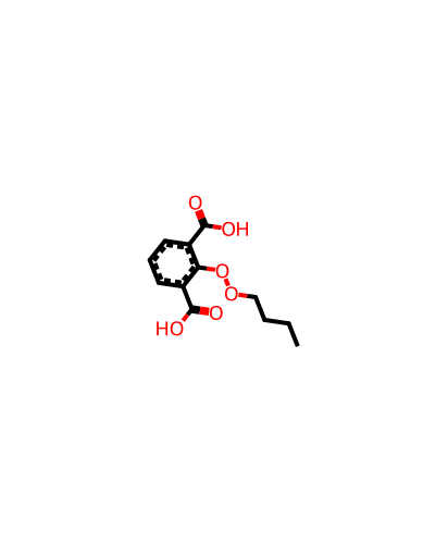 CCCCOOc1c(C(=O)O)cccc1C(=O)O